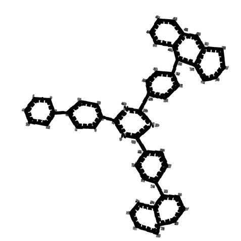 c1ccc(-c2ccc(-c3nc(-c4ccc(-c5cccc6ccccc56)cc4)nc(-c4ccc(-c5c6ccccc6cc6ccccc56)cc4)n3)cc2)cc1